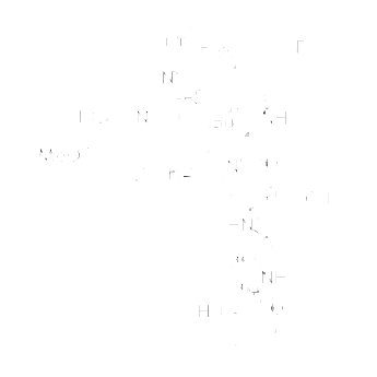 C=C[C@@H]1C[C@]1(NC(=O)[C@@H]1C[C@@H](Oc2cc(-c3nc(C(C)C)cs3)nc3c(C)c(OC)ccc23)CN1C(=O)[C@@H](Nc1cc(F)cc(C(F)(F)F)c1)C(C)(C)C)C(=O)NS(=O)(=O)C1(C)CC1